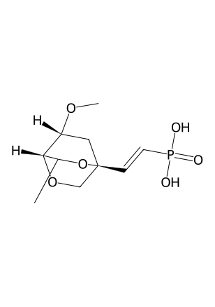 CO[C@@H]1C[C@]2(/C=C/P(=O)(O)O)CO[C@H]1C(C)O2